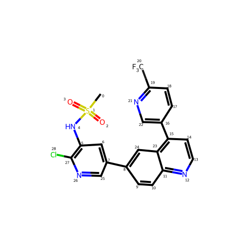 CS(=O)(=O)Nc1cc(-c2ccc3nccc(-c4ccc(C(F)(F)F)nc4)c3c2)cnc1Cl